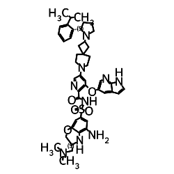 CC(C)c1ccccc1[C@@H]1CCCN1C1CC2(CCN(c3cnc(C(=O)NS(=O)(=O)c4cc(N)c5c(c4)OC[C@H](CN(C)C)N5)c(Oc4cnc5[nH]ccc5c4)c3)CC2)C1